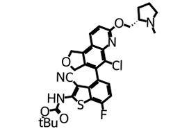 CN1CCC[C@H]1COc1ccc2c3c(c(-c4ccc(F)c5sc(NC(=O)OC(C)(C)C)c(C#N)c45)c(Cl)c2n1)COC3